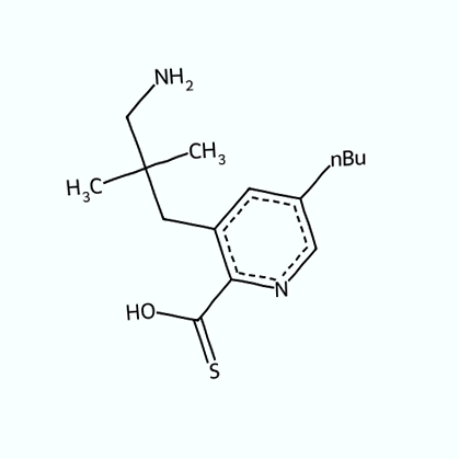 CCCCc1cnc(C(O)=S)c(CC(C)(C)CN)c1